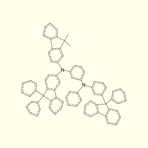 CC1(C)c2ccccc2-c2ccc(N(c3cccc(N(c4ccccc4)c4cccc(C5(c6ccccc6)c6ccccc6-c6ccccc65)c4)c3)c3ccc4c(c3)-c3ccccc3C4(c3ccccc3)c3ccccc3)cc21